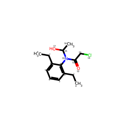 CCc1cccc(CC)c1N(C(=O)CCl)C(C)O